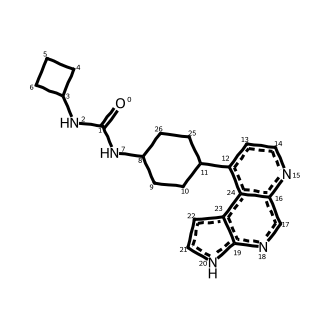 O=C(NC1CCC1)NC1CCC(c2ccnc3cnc4[nH]ccc4c23)CC1